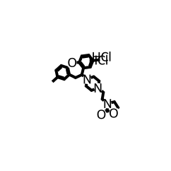 Cc1ccc2c(c1)CC(N1CCN(CCN3CCOC3=O)CC1)c1cc(C)ccc1O2.Cl.Cl